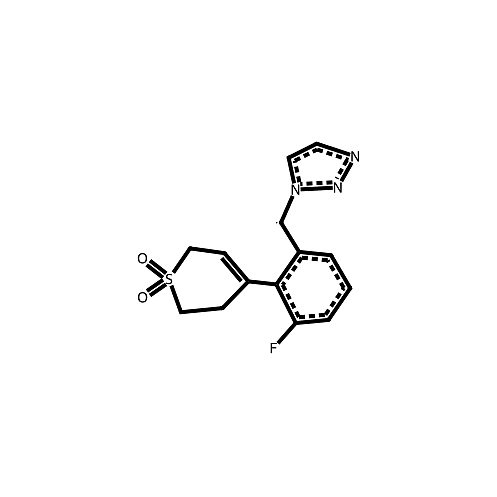 O=S1(=O)CC=C(c2c(F)cccc2[CH]n2ccnn2)CC1